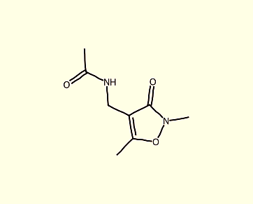 CC(=O)NCc1c(C)on(C)c1=O